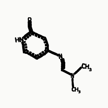 CN(C)C=Nc1cc[nH]c(=O)c1